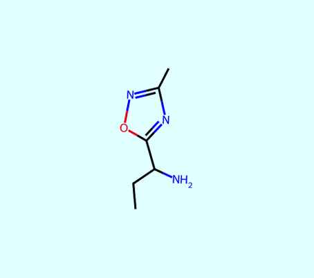 CCC(N)c1nc(C)no1